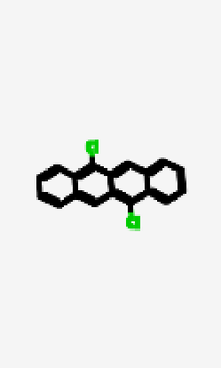 Clc1c2ccccc2cc2c(Cl)c3ccccc3cc12